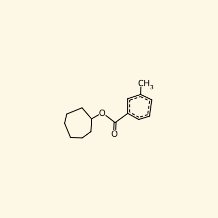 Cc1cccc(C(=O)OC2CCCCCC2)c1